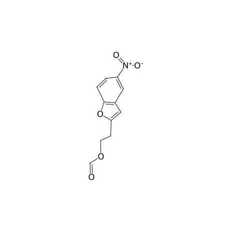 O=COCCc1cc2cc([N+](=O)[O-])ccc2o1